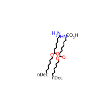 CCCCCCCCCCCCCCCCOC(=O)CCCCCCN.CCCCCCCCCCCCCCCCOC(=O)CCCCCCNC(=O)O